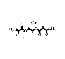 C=C(C)C(=O)OCCOC(=O)CC(C)=O.[Cu]